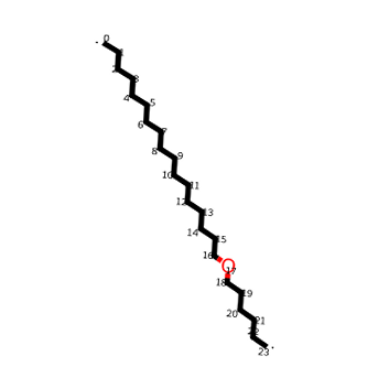 [CH2]CCCCCCCCCCCCCCCCOCCCCC[CH2]